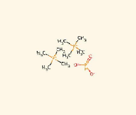 C[P+](C)(C)C.C[P+](C)(C)C.O=[PH]([O-])[O-]